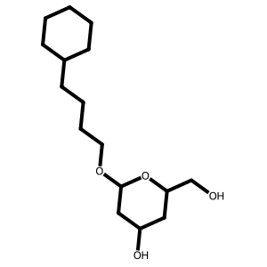 OCC1CC(O)CC(OCCCCC2CCCCC2)O1